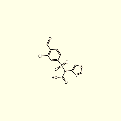 O=Cc1ccc(S(=O)(=O)N(C(=O)O)c2cscn2)cc1Cl